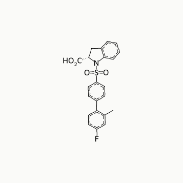 Cc1cc(F)ccc1-c1ccc(S(=O)(=O)N2c3ccccc3C[C@H]2C(=O)O)cc1